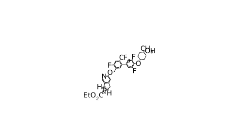 CCOC(=O)[C@H]1[C@H]2Cc3cc(OCc4cc(-c5cc(F)c(O[C@H]6CC[C@](C)(O)CC6)c(F)c5)c(C(F)(F)F)cc4F)ncc3[C@@H]21